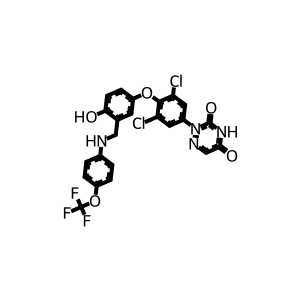 O=c1cnn(-c2cc(Cl)c(Oc3ccc(O)c(CNc4ccc(OC(F)(F)F)cc4)c3)c(Cl)c2)c(=O)[nH]1